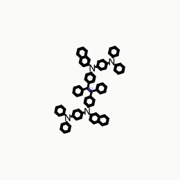 c1ccc(/C(=C(/c2ccccc2)c2ccc(N(c3ccc(N(c4ccccc4)c4ccccc4)cc3)c3ccc4ccccc4c3)cc2)c2ccc(N(c3ccc(N(c4ccccc4)c4ccccc4)cc3)c3ccc4ccccc4c3)cc2)cc1